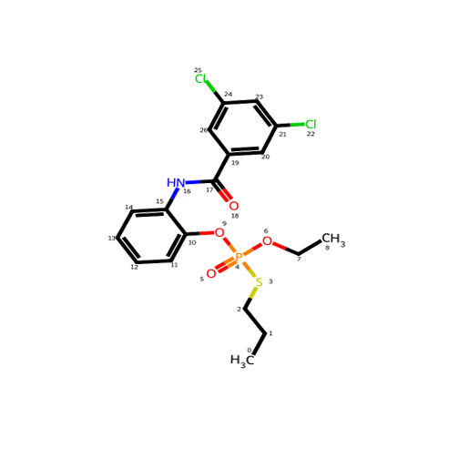 CCCSP(=O)(OCC)Oc1ccccc1NC(=O)c1cc(Cl)cc(Cl)c1